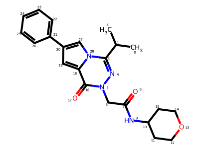 CC(C)c1nn(CC(=O)NC2CCOCC2)c(=O)c2cc(-c3ccccc3)cn12